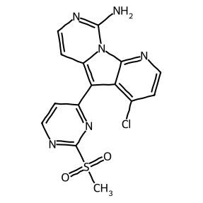 CS(=O)(=O)c1nccc(-c2c3c(Cl)ccnc3n3c(N)nccc23)n1